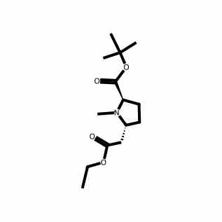 CCOC(=O)C[C@H]1CC[C@H](C(=O)OC(C)(C)C)N1C